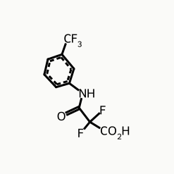 O=C(O)C(F)(F)C(=O)Nc1cccc(C(F)(F)F)c1